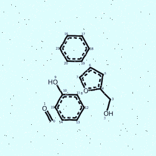 C=O.OCc1ccco1.Oc1ccccc1.c1ccccc1